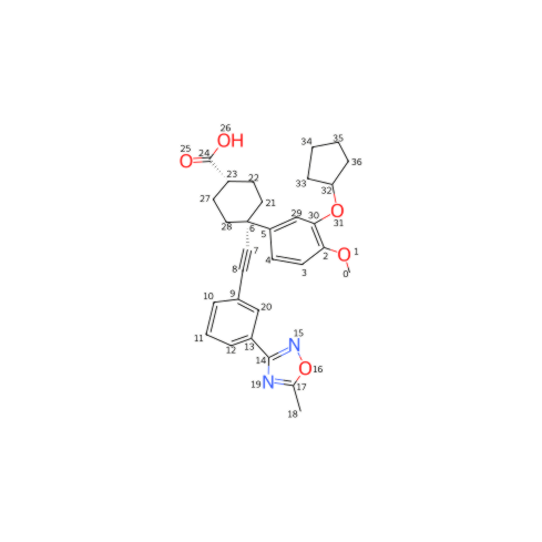 COc1ccc([C@]2(C#Cc3cccc(-c4noc(C)n4)c3)CC[C@@H](C(=O)O)CC2)cc1OC1CCCC1